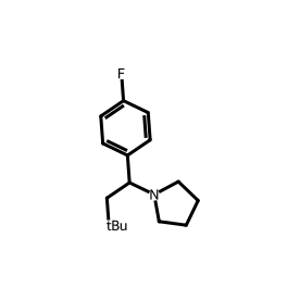 CC(C)(C)CC(c1ccc(F)cc1)N1CCCC1